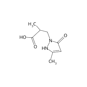 Cc1cc(=O)n(CC(C)C(=O)O)[nH]1